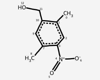 Cc1cc([N+](=O)[O-])c(C)cc1CO